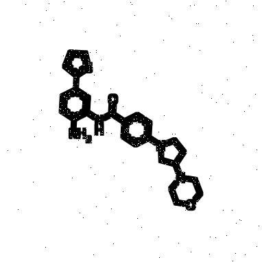 Nc1ccc(-c2cccs2)cc1NC(=O)c1ccc(N2CCC(N3CCOCC3)C2)cc1